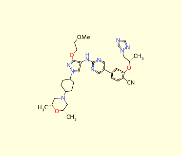 COCCOc1nn(C2CCC(N3C[C@@H](C)O[C@@H](C)C3)CC2)cc1Nc1ncc(-c2ccc(C#N)c(O[C@@H](C)Cn3cncn3)c2)cn1